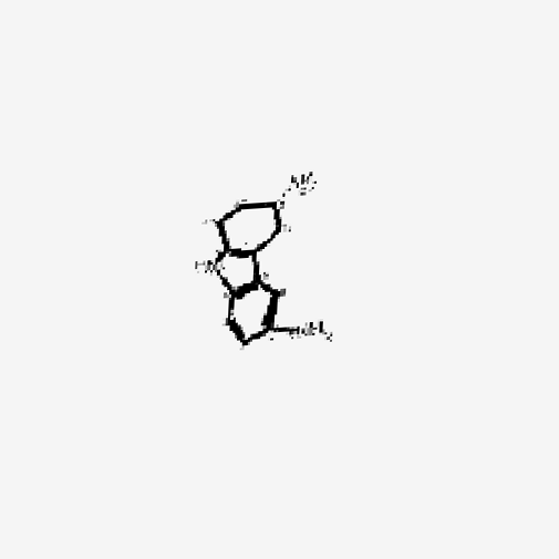 Nc1ccc2[nH]c3c(c2c1)C[C@@H](N)CC3